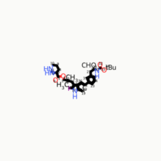 CC(C)(COC(=O)C1CCCNN1)Cc1c(I)[nH]c2ccc(-c3cccc(C[C@@H](C=O)NC(=O)OC(C)(C)C)c3)cc12